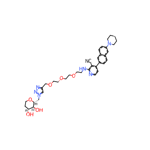 N#Cc1c(-c2ccc3cc(N4CCCCC4)ccc3c2)ccnc1NCCOCCOCCOCc1cn(C[C@H]2OCC[C@@H](O)[C@@H]2O)nn1